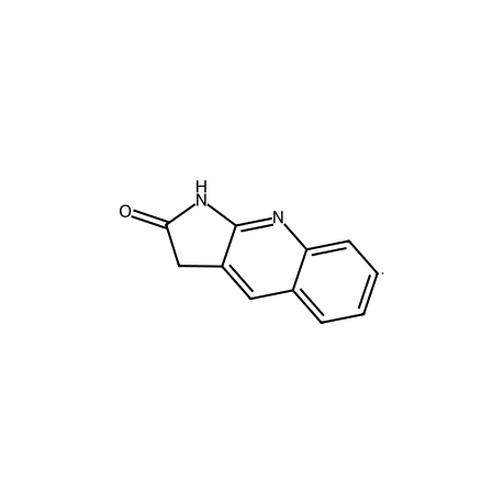 O=C1Cc2cc3cc[c]cc3nc2N1